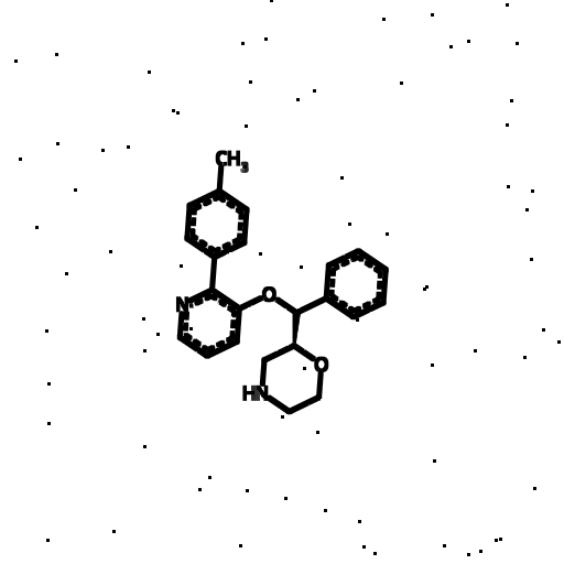 Cc1ccc(-c2ncccc2OC(c2ccccc2)[C@@H]2CNCCO2)cc1